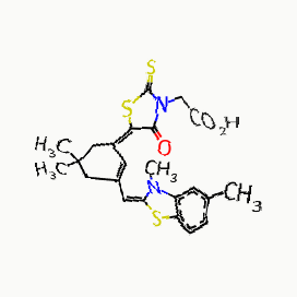 Cc1ccc2c(c1)N(C)C(=CC1=CC(=C3SC(=S)N(CC(=O)O)C3=O)CC(C)(C)C1)S2